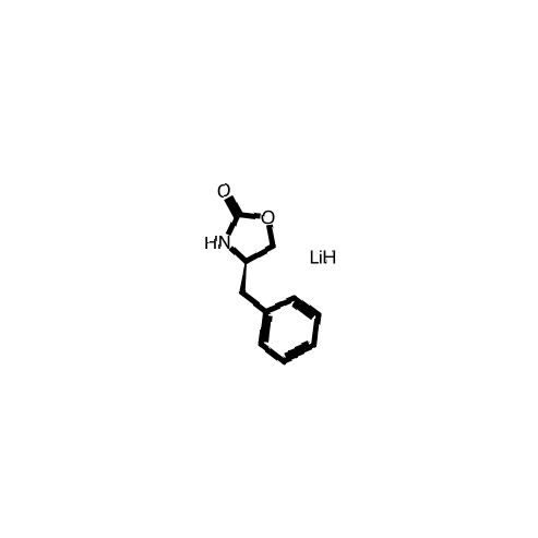 O=C1N[C@H](Cc2ccccc2)CO1.[LiH]